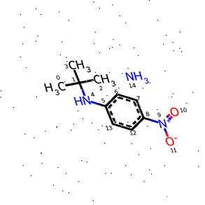 CC(C)(C)Nc1ccc([N+](=O)[O-])cc1.N